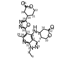 CCn1ncc2c(NC3CCOC(=O)C3)c(-c3nnc(C4CCOC(=O)C4)o3)c(C)nc21